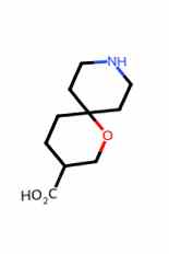 O=C(O)C1CCC2(CCNCC2)OC1